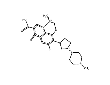 C[C@H]1COc2c(N3CC[C@H](N4CCN(C)CC4)C3)c(F)cc3c(=O)c(C(=O)O)cn1c23